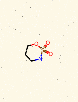 O=S1(=O)[N]CCCO1